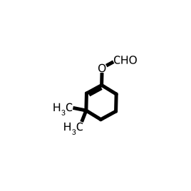 CC1(C)C=C(OC=O)CCC1